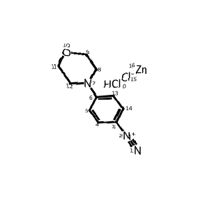 Cl.N#[N+]c1ccc(N2CCOCC2)cc1.[Cl-].[Zn]